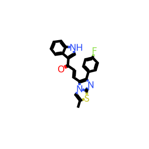 Cc1cn2c(/C=C/C(=O)c3c[nH]c4ccccc34)c(-c3ccc(F)cc3)nc2s1